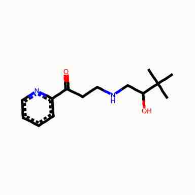 CC(C)(C)C(O)CNCCC(=O)c1ccccn1